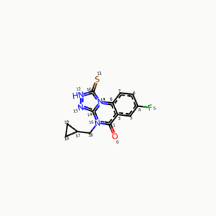 O=c1c2cc(F)ccc2n2c(=S)[nH]nc2n1CC1CC1